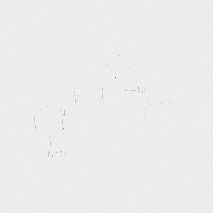 CNC1CCCN(c2ccc(C3(CN[S+](C)[O-])CCC3)cc2)C1=O